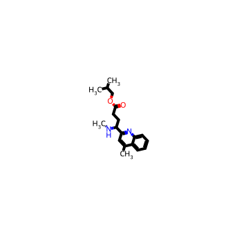 CNC(CCC(=O)OCC(C)C)c1cc(C)c2ccccc2n1